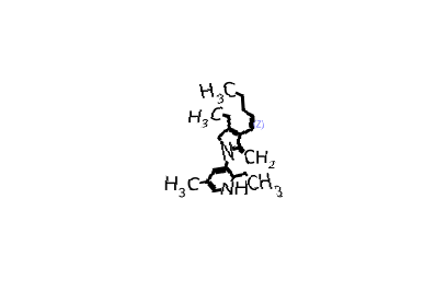 C=C1C(/C=C\CCC)=C(CC)CN1C1=CC(C)=CNC1CC